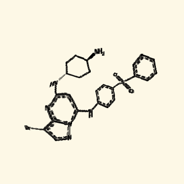 N[C@H]1CC[C@H](Nc2cc(Nc3ccc(S(=O)(=O)c4ccccc4)cc3)n3ncc(Br)c3n2)CC1